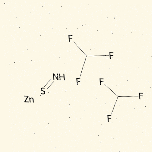 FC(F)F.FC(F)F.N=S.[Zn]